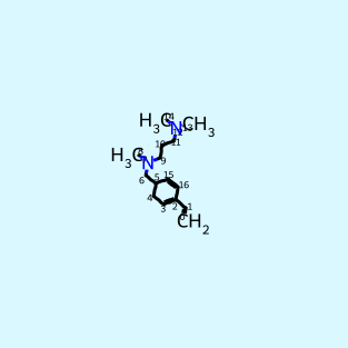 C=CC1=CCC(CN(C)CCCN(C)C)C=C1